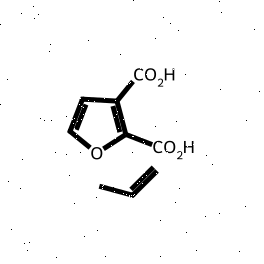 C=CC.O=C(O)c1ccoc1C(=O)O